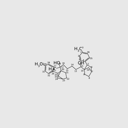 Cc1ccc(C2CC3CCC2(C(O)CCCCC(C)(O)C24CCC(CC2c2ccc(C)cc2)C4)C3)cc1